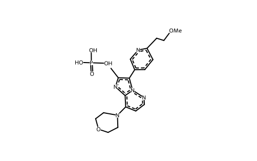 COCCc1ccc(-c2c(C)nc3c(N4CCOCC4)ccnn23)cn1.O=P(O)(O)O